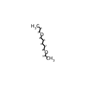 CCCOCCCCCOCC